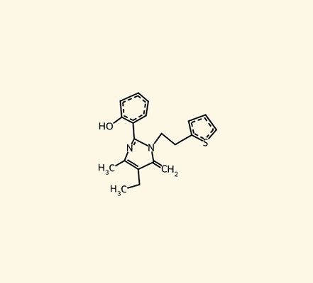 C=C1C(CC)=C(C)N=C(c2ccccc2O)N1CCc1cccs1